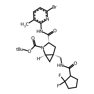 Cc1ccc(Br)nc1NC(=O)[C@@H]1C[C@@]2(CNC(=O)C3CCCC3(F)F)C[C@H]2N1C(=O)OC(C)(C)C